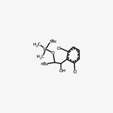 CCCCC(O[Si](C)(C)C(C)(C)C)C(O)c1c(Cl)cccc1Cl